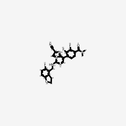 CN(C)C(=O)c1ccc(-c2cnc(NCc3c(F)ccc4c3CCO4)n3cc(C#N)nc23)c(F)c1F